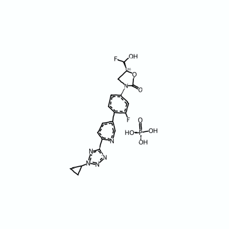 O=C1O[C@H](C(O)F)CN1c1ccc(-c2ccc(-c3nnn(C4CC4)n3)nc2)c(F)c1.O=P(O)(O)O